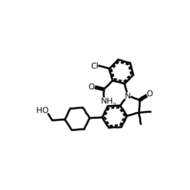 CC1(C)C(=O)N(c2cccc(Cl)c2C(N)=O)c2cc(C3CCC(CO)CC3)ccc21